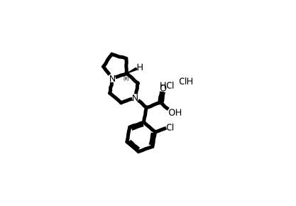 Cl.Cl.O=C(O)C(c1ccccc1Cl)N1CCN2CCC[C@@H]2C1